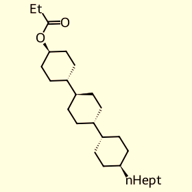 CCCCCCC[C@H]1CC[C@H]([C@H]2CC[C@H]([C@H]3CC[C@H](OC(=O)CC)CC3)CC2)CC1